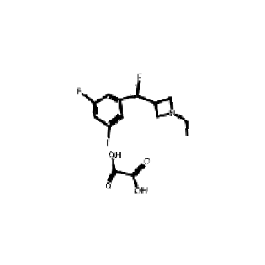 CCN1CC(C(F)c2cc(F)cc(F)c2)C1.O=C(O)C(=O)O